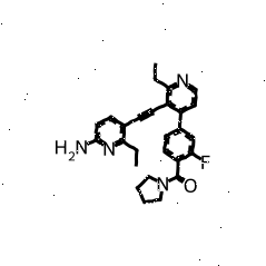 CCc1nc(N)ccc1C#Cc1c(-c2ccc(C(=O)N3CCCC3)c(F)c2)ccnc1CC